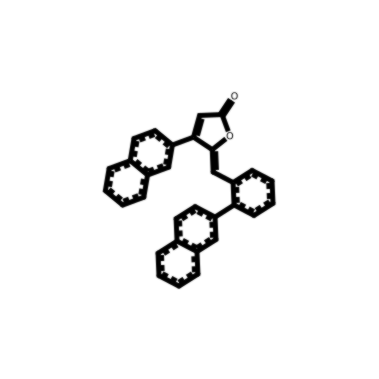 O=C1C=C(c2ccc3ccccc3c2)C(=Cc2ccccc2-c2ccc3ccccc3c2)O1